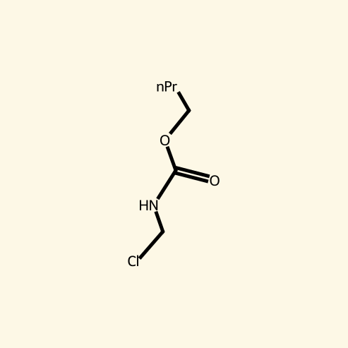 CCCCOC(=O)NCCl